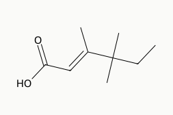 CCC(C)(C)C(C)=CC(=O)O